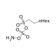 CCCCCCCCS(=O)(=O)OS(=O)(=O)ON